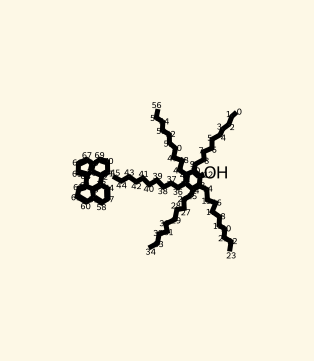 CCCCCCCCCCc1c(O)c(CCCCCCCCCC)c(CCCCCCCCCC)c(CCCCCCCCCC)c1CCCCCCCCCC.c1cc2cccc3c4cccc5cccc(c(c1)c23)c54